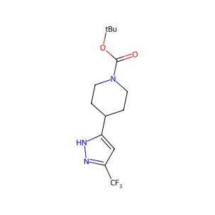 CC(C)(C)OC(=O)N1CCC(c2cc(C(F)(F)F)n[nH]2)CC1